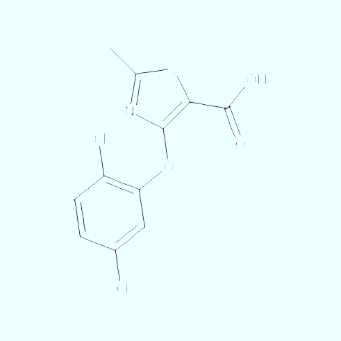 Cc1nc(Oc2cc(Cl)ccc2Cl)c(C(=O)O)s1